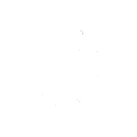 N#Cc1ccc(C=CC(=O)c2ccc(C(=O)C=Cc3ccc(Cl)cc3)cc2)cc1